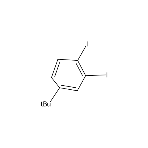 CC(C)(C)c1ccc(I)c(I)c1